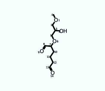 COCC(O)COC(C=O)CCCC=O